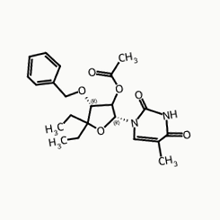 CCC1(CC)O[C@@H](n2cc(C)c(=O)[nH]c2=O)C(OC(C)=O)[C@H]1OCc1ccccc1